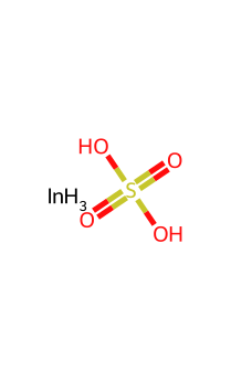 O=S(=O)(O)O.[InH3]